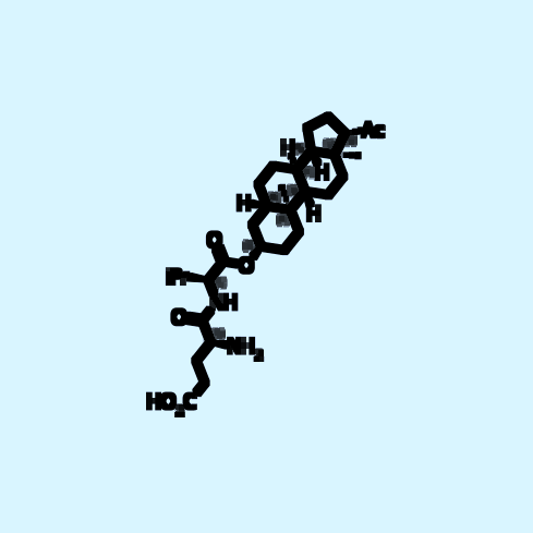 CC(=O)[C@H]1CC[C@H]2[C@@H]3CC[C@H]4C[C@H](OC(=O)[C@@H](NC(=O)[C@@H](N)CCC(=O)O)C(C)C)CC[C@]4(C)[C@H]3CC[C@]12C